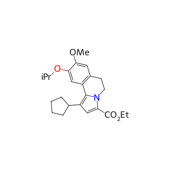 CCOC(=O)c1cc(C2CCCC2)c2n1CCc1cc(OC)c(OC(C)C)cc1-2